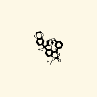 Cn1cncc1C(O)(c1ccc2c(c1)OCCO2)c1ccc2c(c1)c(-c1cccc(Cl)c1)nc(=O)n2C